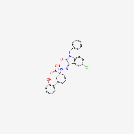 O=C1/C(=N\NC2(C(=O)O)C=CC=C(c3ccccc3O)C2)c2cc(Cl)ccc2N1Cc1ccccc1